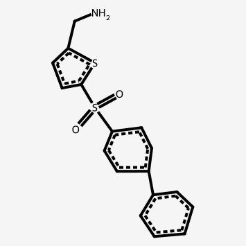 NCc1ccc(S(=O)(=O)c2ccc(-c3ccccc3)cc2)s1